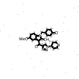 COc1ccc2c(c1)c(C(=O)c1cn(-c3ccncc3)nn1)c(C)n2Cc1ccc(Cl)cc1